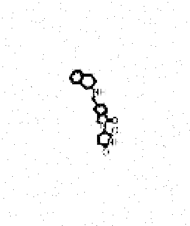 O=C1CCC(N2Cc3cc(CN[C@H]4CCc5ccccc5C4)ccc3C2=O)C(=O)N1